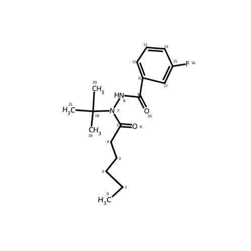 CCCCCC(=O)N(NC(=O)c1cccc(F)c1)C(C)(C)C